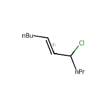 CCCC/C=C/C(Cl)CCC